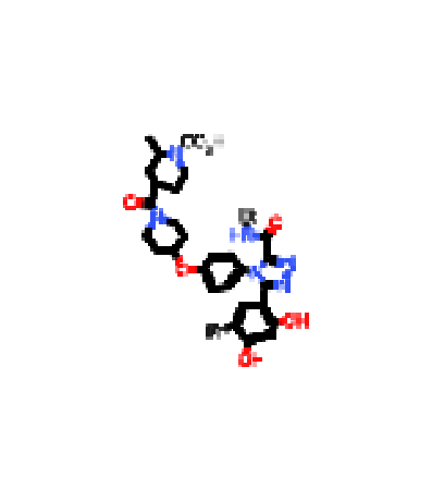 CCNC(=O)c1nnc(-c2cc(C(C)C)c(O)cc2O)n1-c1ccc(OC2CCN(C(=O)C3CCN(C(=O)O)C(C)C3)CC2)cc1